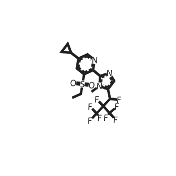 CCS(=O)(=O)c1cc(C2CC2)cnc1-c1ncc(C(F)C(F)(C(F)(F)F)C(F)(F)F)n1C